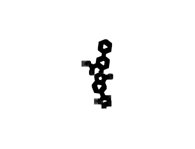 O=C(O)c1cc(-c2ccccc2)ccc1N1Cc2ccc(-c3nnn[nH]3)cc2C1=O